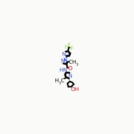 Cc1cc(NC(=O)c2cnn(-c3ccc(C(F)(F)F)cn3)c2C)cnc1[C@H]1CC[C@@H](O)CC1